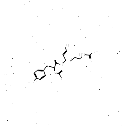 CCCCCCCC(=O)NC(Cc1ccc(O)cc1)C(=O)N[C@H](/C=C/C=O)CCCNC(=N)N